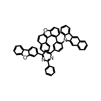 c1ccc(-c2nc(-c3ccc(-n4c5ccccc5c5cc6ccccc6cc54)c(-c4cccc5oc6ccc7ccccc7c6c45)c3)nc(-c3ccc4c(c3)oc3ccccc34)n2)cc1